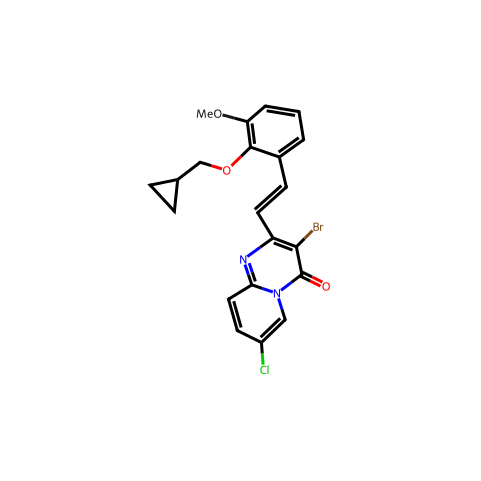 COc1cccc(C=Cc2nc3ccc(Cl)cn3c(=O)c2Br)c1OCC1CC1